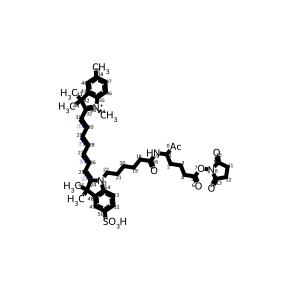 CC(=O)C(CCCC(=O)ON1C(=O)CCC1=O)NC(=O)CCCCCN1\C(=C/C=C/C=C/C=C/C2=[N+](C)c3ccc(C)cc3C2(C)C)C(C)(C)c2cc(S(=O)(=O)O)ccc21